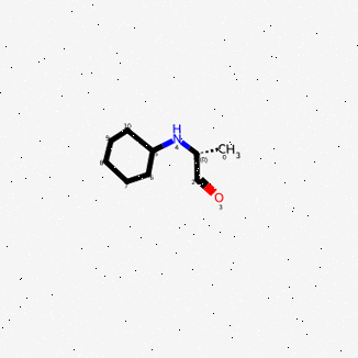 C[C@H]([C]=O)NC1CCCCC1